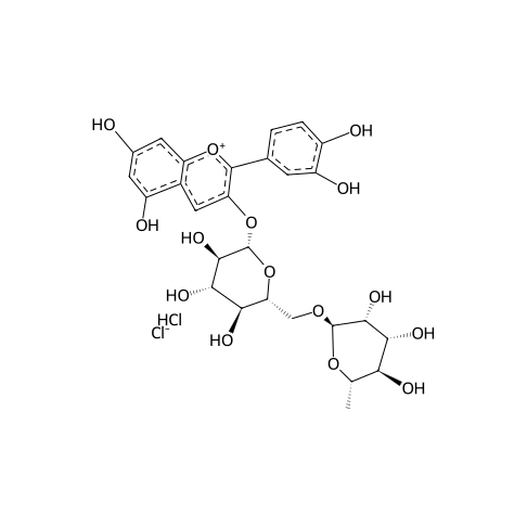 C[C@@H]1O[C@@H](OC[C@H]2O[C@@H](Oc3cc4c(O)cc(O)cc4[o+]c3-c3ccc(O)c(O)c3)[C@H](O)[C@@H](O)[C@@H]2O)[C@H](O)[C@H](O)[C@H]1O.Cl.[Cl-]